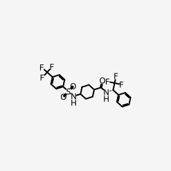 O=C(N[C@@H](c1ccccc1)C(F)(F)F)C1CCC(NS(=O)(=O)c2ccc(C(F)(F)F)cc2)CC1